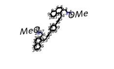 CO/C=C/Cc1ccc2ccccc2c1CC#Cc1ccc(C#CCc2c(C/C=C/OC)ccc3ccccc23)cc1